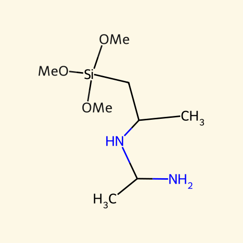 CO[Si](CC(C)NC(C)N)(OC)OC